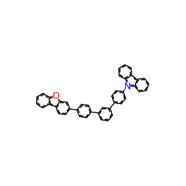 c1cc(-c2ccc(-c3ccc4c(c3)oc3ccccc34)cc2)cc(-c2ccc(-n3c4ccccc4c4ccccc43)cc2)c1